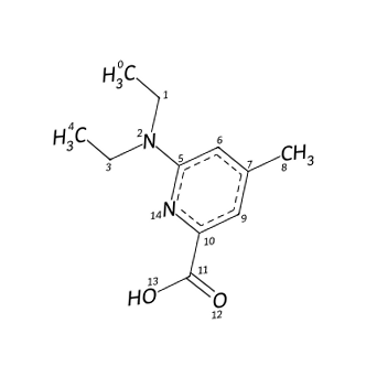 CCN(CC)c1cc(C)cc(C(=O)O)n1